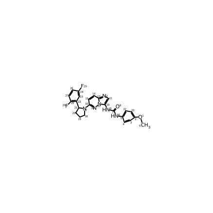 COc1ccc(NC(=O)Nc2cnc3ccc(N4CCCC4c4cc(F)ccc4F)nn23)cc1